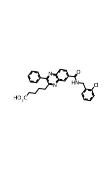 O=C(O)CCCCc1nc2cc(C(=O)NCc3ccccc3Cl)ccc2nc1-c1ccccc1